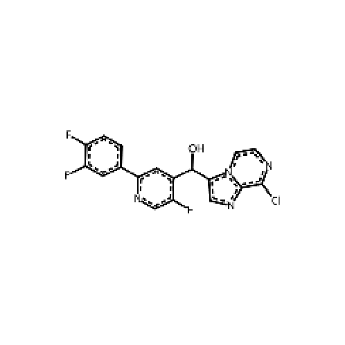 OC(c1cc(-c2ccc(F)c(F)c2)ncc1F)c1cnc2c(Cl)nccn12